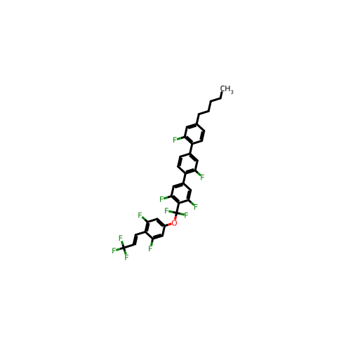 CCCCCc1ccc(-c2ccc(-c3cc(F)c(C(F)(F)Oc4cc(F)c(/C=C/C(F)(F)F)c(F)c4)c(F)c3)c(F)c2)c(F)c1